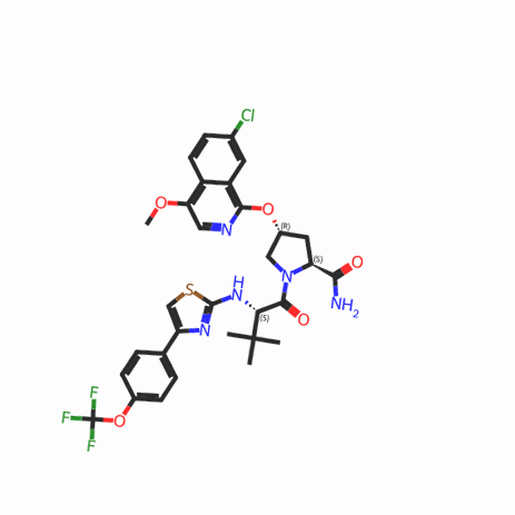 COc1cnc(O[C@@H]2C[C@@H](C(N)=O)N(C(=O)[C@@H](Nc3nc(-c4ccc(OC(F)(F)F)cc4)cs3)C(C)(C)C)C2)c2cc(Cl)ccc12